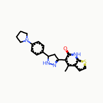 Cc1c(C2=NNC(c3ccc(N4CCCC4)cc3)C2)c(=O)[nH]c2sccc12